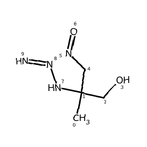 CC(CO)(CN=O)NN=N